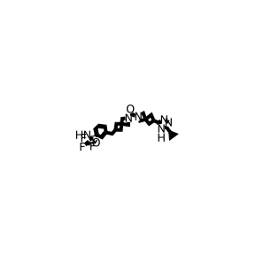 N=[S@@](=O)(c1cccc(CC2CC3(C2)CN(C(=O)N2CC4(CC(c5nnc(C6CC6)[nH]5)C4)C2)C3)c1)C(F)(F)F